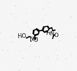 CC(=O)NC(C)Cc1ccc(-c2cccc(C(=O)N(C)CCO)c2)cc1